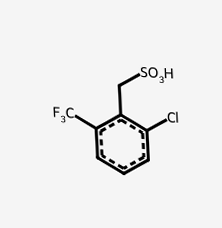 O=S(=O)(O)Cc1c(Cl)cccc1C(F)(F)F